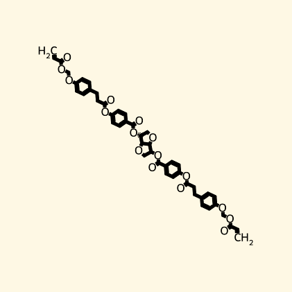 C=CC(=O)OCOc1ccc(CCC(=O)Oc2ccc(C(=O)OC3COC4C3OC[C@H]4OC(=O)c3ccc(OC(=O)CCc4ccc(OCOC(=O)C=C)cc4)cc3)cc2)cc1